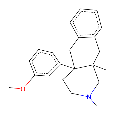 COc1cccc(C23CCN(C)CC2(C)Cc2ccccc2C3)c1